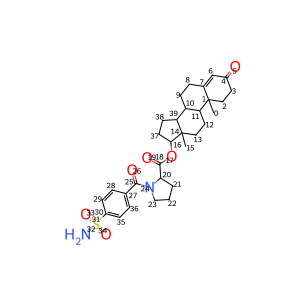 CC12CCC(=O)C=C1CCC1C2CCC2(C)C(OC(=O)C3CCCN3C(=O)c3ccc(S(N)(=O)=O)cc3)CCC12